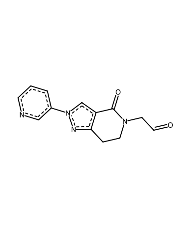 O=CCN1CCc2nn(-c3cccnc3)cc2C1=O